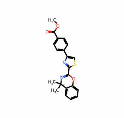 COC(=O)c1ccc(-c2csc(C3=NC(C)(C)c4ccccc4O3)n2)cc1